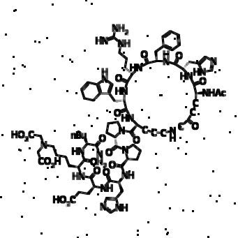 CCCC[C@H](NC(=O)[C@H](CCCCN(CC(=O)O)CC(=O)O)NC(=O)[C@H](CCC(=O)O)NC(=O)[C@H](Cc1cnc[nH]1)NC(=O)[C@@H]1CCCN1C(=O)[C@@H]1CCCN1C(=O)[C@@H]1CCCNCC(=O)CC[C@H](NC(C)=O)C(=O)N[C@@H](Cc2cnc[nH]2)C(=O)N[C@H](Cc2ccccc2)C(=O)N[C@@H](CCCNC(=N)N)C(=O)N[C@@H](Cc2c[nH]c3c2CCC=C3)C(=O)N1)C(N)=O